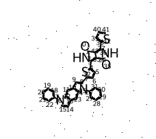 O=C1NC(c2ccc(-c3cc4cc5c(ccn5-c5ccccc5)cc4n3-c3ccccc3)s2)=C2C(=O)NC(c3cccs3)=C12